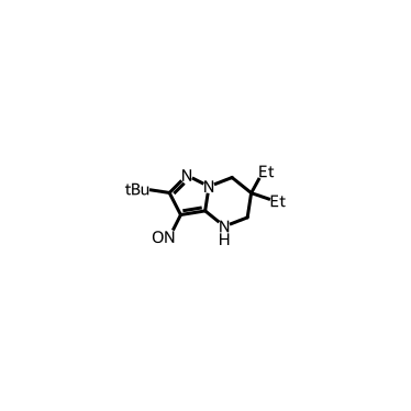 CCC1(CC)CNc2c(N=O)c(C(C)(C)C)nn2C1